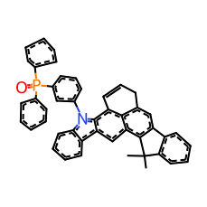 CC1(C)c2ccccc2-c2cc3c4c(c5c(cc4c21)c1ccccc1n5-c1cccc(P(=O)(c2ccccc2)c2ccccc2)c1)C=CC3